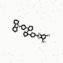 CCCc1cc(CC)cc2nc(-c3ccc(-c4ccccc4-c4ccccc4-c4ccc(-n5c6ccccc6c6ccccc65)cc4)cc3)oc12